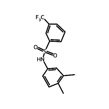 Cc1ccc(NS(=O)(=O)c2cccc(C(F)(F)F)c2)cc1C